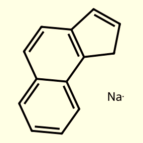 C1=Cc2ccc3ccccc3c2C1.[Na]